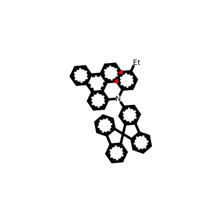 CCc1ccc(N(c2ccc3c(c2)C2(c4ccccc4-c4ccccc42)c2ccccc2-3)c2cccc3c4ccccc4c4ccccc4c23)cc1